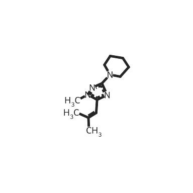 CC(C)=Cc1nc(N2CCCCC2)nn1C